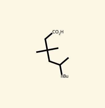 CCCCC(C)CC(C)(C)CC(=O)O